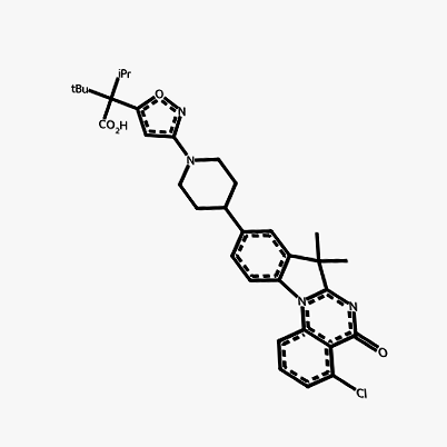 CC(C)C(C(=O)O)(c1cc(N2CCC(c3ccc4c(c3)C(C)(C)c3nc(=O)c5c(Cl)cccc5n3-4)CC2)no1)C(C)(C)C